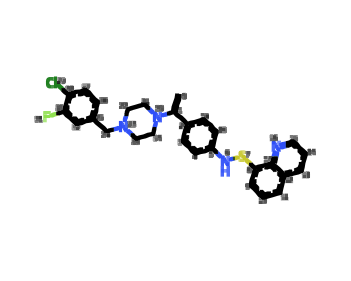 C=C(c1ccc(NSc2cccc3cccnc23)cc1)N1CCN(Cc2ccc(Cl)c(F)c2)CC1